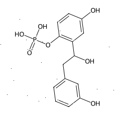 O=P(O)(O)Oc1ccc(O)cc1C(O)Cc1cccc(O)c1